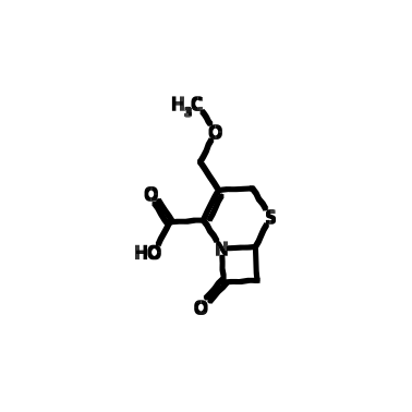 COCC1=C(C(=O)O)N2C(=O)CC2SC1